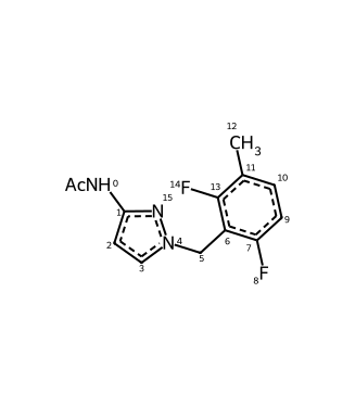 CC(=O)Nc1ccn(Cc2c(F)ccc(C)c2F)n1